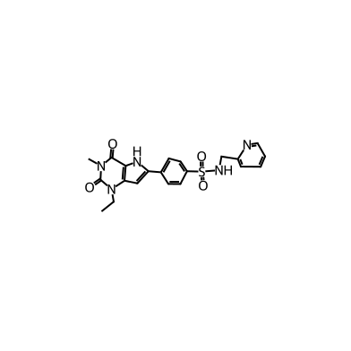 CCn1c(=O)n(C)c(=O)c2[nH]c(-c3ccc(S(=O)(=O)NCc4ccccn4)cc3)cc21